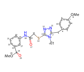 CCn1c(Cc2ccc(OC)cc2)nnc1SCC(=O)Nc1cccc(C(=O)OC)c1